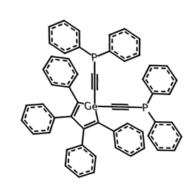 C(#[C][Ge]1([C]#CP(c2ccccc2)c2ccccc2)[C](c2ccccc2)=C(c2ccccc2)C(c2ccccc2)=[C]1c1ccccc1)P(c1ccccc1)c1ccccc1